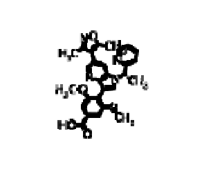 COc1cc(C(=O)O)cc(OC)c1-c1cn([C@@H](C)c2ccccn2)c2cc(-c3c(C)noc3C)cnc12